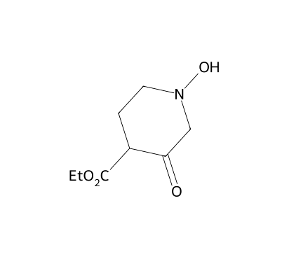 CCOC(=O)C1CCN(O)CC1=O